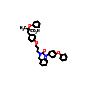 C[C@@](Cc1ccc(OCCCN(Cc2ccccc2)C(=O)Nc2ccc(Oc3ccccc3)cc2)cc1)(Oc1ccccc1)C(=O)O